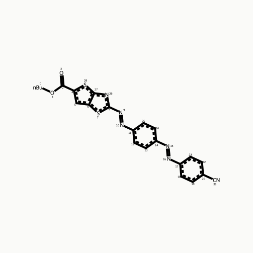 CCCCOC(=O)c1cc2sc(N=Nc3ccc(N=Nc4ccc(C#N)cc4)cc3)nc2s1